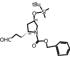 CC(C)(C)[Si](C)(C)O[C@@H]1C[C@@H](CCC=O)N(C(=O)OCc2ccccc2)C1